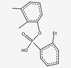 CCc1ccccc1P(=O)(O)Oc1cccc(C)c1C